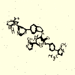 Cc1cnn(C)c1-c1ccc(NC(=O)C(NC(=O)c2ccnn2C)[C@@H]2CCc3ccc(-c4cc(N5C[C@@H]6C[C@H]5CO6)ncn4)cc32)cc1